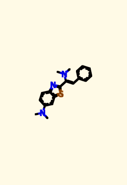 CN(C)C(=Cc1ccccc1)c1nc2ccc(N(C)C)cc2s1